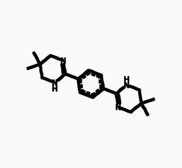 CC1(C)CN=C(c2ccc(C3=NCC(C)(C)CN3)cc2)NC1